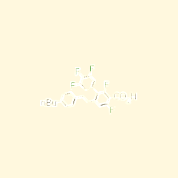 CCCCc1ccc(CCc2cc(F)c(C(=O)O)c(F)c2-c2cc(F)c(F)c(F)c2)cc1